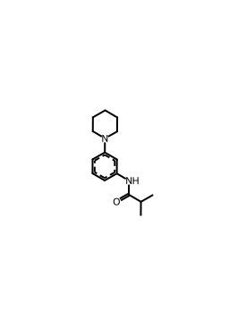 CC(C)C(=O)Nc1cccc(N2CCCCC2)c1